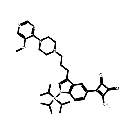 COc1cncnc1N1CCN(CCCc2cn([Si](C(C)C)(C(C)C)C(C)C)c3ccc(-c4c(N)c(=O)c4=O)cc23)CC1